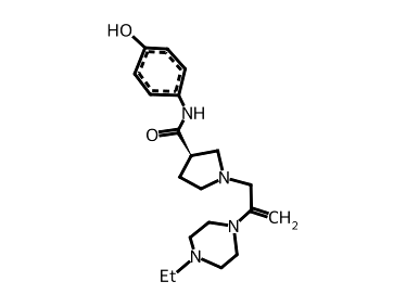 C=C(CN1CC[C@@H](C(=O)Nc2ccc(O)cc2)C1)N1CCN(CC)CC1